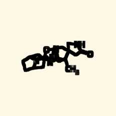 CCc1noc(N2C3CCC2CC(N2CCC4(CC2)CNC(=O)C4)C3)n1